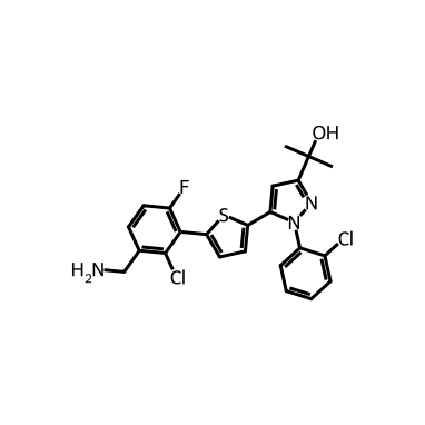 CC(C)(O)c1cc(-c2ccc(-c3c(F)ccc(CN)c3Cl)s2)n(-c2ccccc2Cl)n1